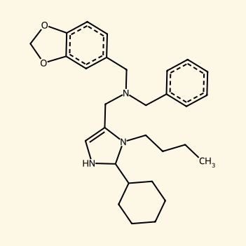 CCCCN1C(CN(Cc2ccccc2)Cc2ccc3c(c2)OCO3)=CNC1C1CCCCC1